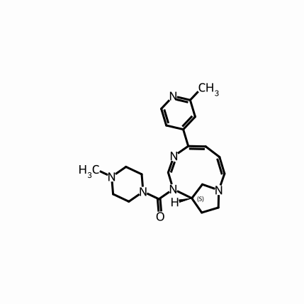 Cc1cc(C2=CC=CN3CC[C@@H](C3)N(C(=O)N3CCN(C)CC3)C=N2)ccn1